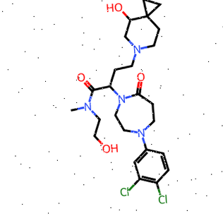 CN(CCO)C(=O)C(CCN1CCC2(CC2)C(O)C1)N1CCN(c2ccc(Cl)c(Cl)c2)CCC1=O